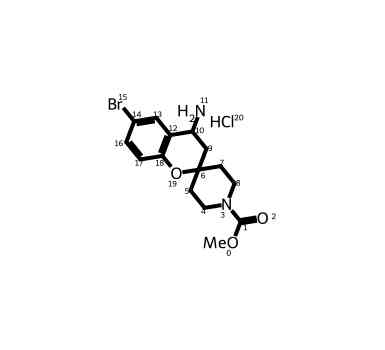 COC(=O)N1CCC2(CC1)CC(N)c1cc(Br)ccc1O2.Cl